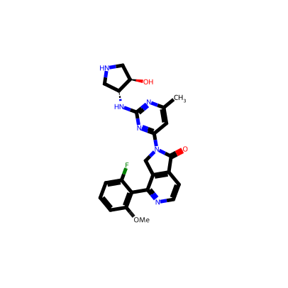 COc1cccc(F)c1-c1nccc2c1CN(c1cc(C)nc(N[C@@H]3CNC[C@H]3O)n1)C2=O